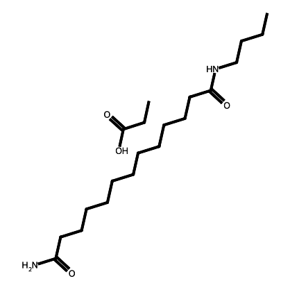 CCC(=O)O.CCCCNC(=O)CCCCCCCCCCCC(N)=O